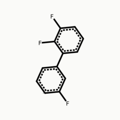 Fc1[c]ccc(-c2cccc(F)c2F)c1